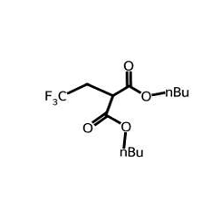 CCCCOC(=O)C(CC(F)(F)F)C(=O)OCCCC